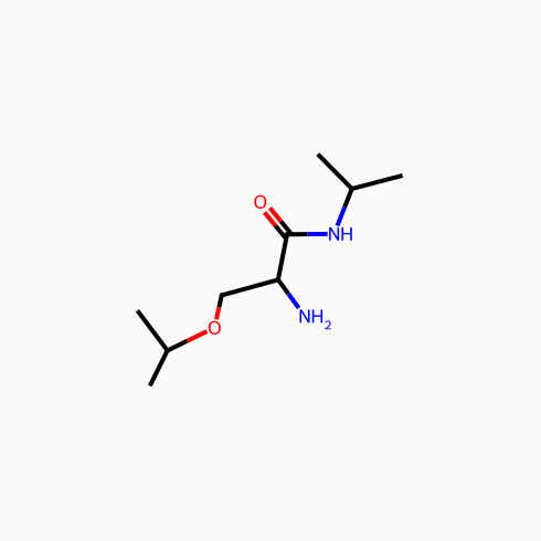 CC(C)NC(=O)C(N)COC(C)C